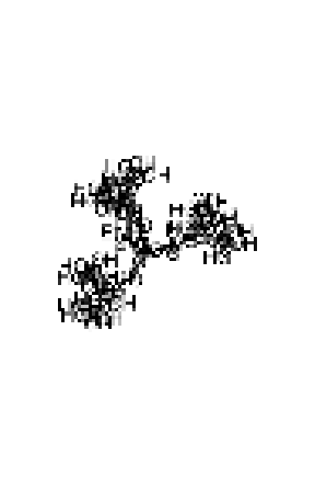 CCNC(=O)CCOCC(COCCC(=O)NCCO[C@H]1O[C@H](CO[C@H]2O[C@H](CO)[C@@H](O)[C@H](O)[C@@H]2O)[C@@H](O)[C@H](O[C@H]2O[C@H](CO)[C@@H](O)[C@H](O)[C@@H]2O)[C@@H]1O)(COCCC(=O)NCCO[C@H]1O[C@H](CO[C@H]2O[C@H](CO)[C@@H](O)[C@H](O)[C@@H]2O)[C@@H](O)[C@H](O[C@H]2O[C@H](CO)[C@@H](O)[C@H](O)[C@@H]2O)[C@@H]1O)COCCC(=O)NCCO[C@H]1O[C@H](CO[C@H]2O[C@H](CO)[C@@H](O)[C@H](O)[C@@H]2O)[C@@H](O)[C@H](O[C@H]2O[C@H](CO)[C@@H](C)[C@H](O)[C@@H]2O)[C@@H]1O